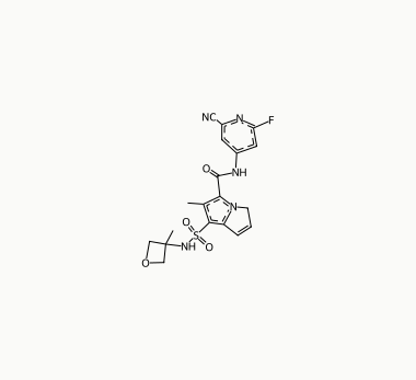 Cc1c(S(=O)(=O)NC2(C)COC2)c2n(c1C(=O)Nc1cc(F)nc(C#N)c1)CC=C2